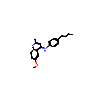 CCCCc1ccc(Nc2cc(C)nc3ccc(OC)cc23)cc1